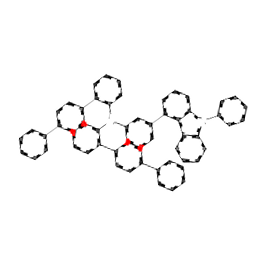 c1ccc(-c2ccc(-c3ccccc3N(c3cccc(-c4cccc5c4c4ccccc4n5-c4ccccc4)c3)c3ccccc3-c3ccc(-c4ccccc4)cc3)cc2)cc1